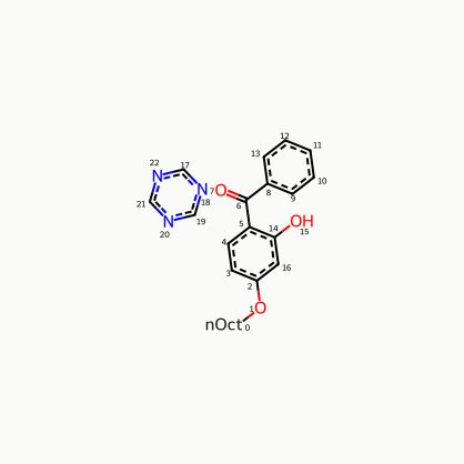 CCCCCCCCOc1ccc(C(=O)c2ccccc2)c(O)c1.c1ncncn1